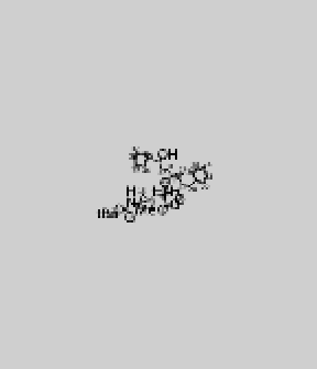 COC(=O)C(CC12CC(C1)C(NC(=O)OC(C)(C)C)C2)NC(=O)[C@@H]1Cc2ccccc2CN1C(=O)CCC(O)c1ccccc1